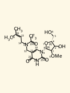 COC1C(O)[C@@H](CO)O[C@H]1n1cc(CN(CC=C(C)C)C(=O)C(F)(F)F)c(=O)[nH]c1=O